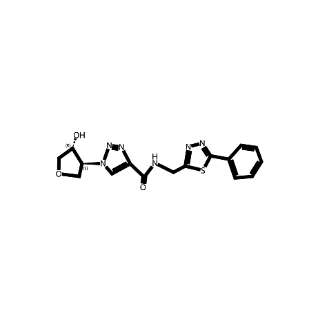 O=C(NCc1nnc(-c2ccccc2)s1)c1cn([C@H]2COC[C@@H]2O)nn1